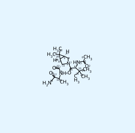 CC(=O)N[C@H](C(=O)N1C[C@H]2[C@@H]([C@H]1C(=O)N[C@@H](C)C(N)=O)C2(C)C)C(C)(C)C